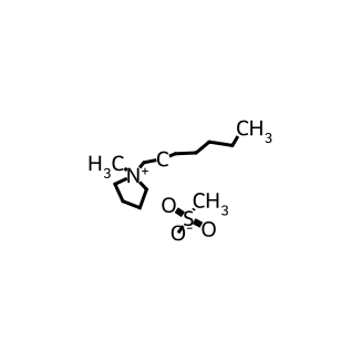 CCCCCCC[N+]1(C)CCCC1.CS(=O)(=O)[O-]